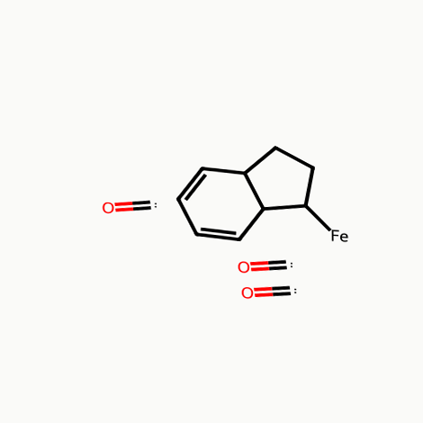 [C]=O.[C]=O.[C]=O.[Fe][CH]1CCC2C=CC=CC12